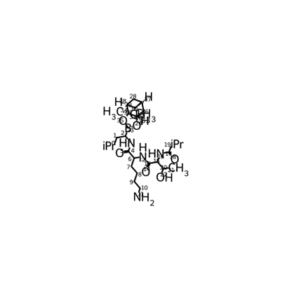 CC(C)CC(NC(=O)C(CCCCN)NC(=O)C(NC(=O)C(C)C)C(C)O)B1O[C@@H]2C[C@@H]3C[C@@H](C3(C)C)[C@]2(C)O1